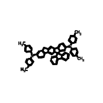 Cc1ccc(N(c2ccc(C)cc2)c2ccc3c(c2)Cc2cc4c(cc2-3)C2(c3ccccc3-c3ccccc32)c2cc(N(c3ccc(C)cc3)c3ccc(C)cc3)ccc2-4)cc1